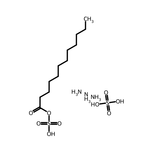 CCCCCCCCCCCC(=O)OS(=O)(=O)O.N.N.N.O=S(=O)(O)O